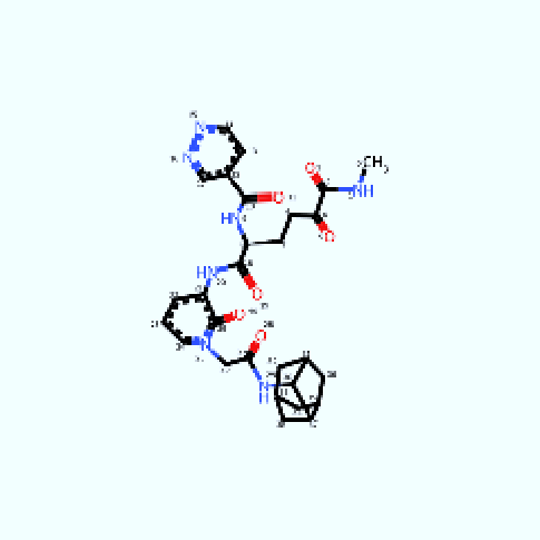 CNC(=O)C(=O)CC[C@H](NC(=O)c1ccnnc1)C(=O)Nc1cccn(CC(=O)NC2C3CC4CC(C3)C2C4)c1=O